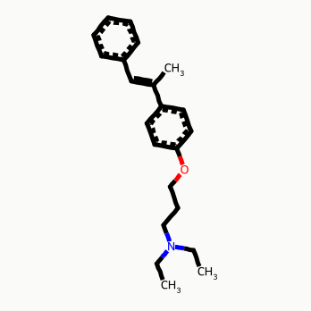 CCN(CC)CCCOc1ccc(C(C)=Cc2ccccc2)cc1